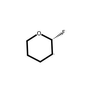 F[C@@H]1[CH]CCCO1